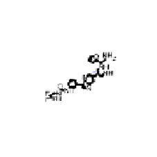 N=C/C(=C\NC(CN)c1ccco1)c1cnn2c(-c3cccc(NC(=O)NCC(F)(F)F)c3)cnc2c1